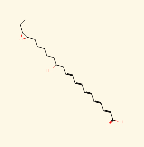 CCC1OC1CCCCCC(O)CC=CC=CC=CC=CC=CC(=O)O